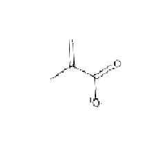 C=C(C)C(=O)[1O]